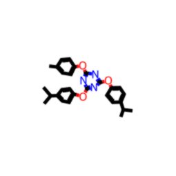 Cc1ccc(Oc2nc(Oc3ccc(C(C)C)cc3)nc(Oc3ccc(C(C)C)cc3)n2)cc1